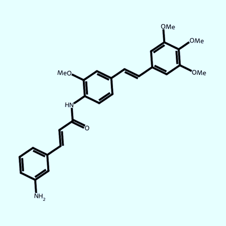 COc1cc(/C=C/c2cc(OC)c(OC)c(OC)c2)ccc1NC(=O)/C=C/c1cccc(N)c1